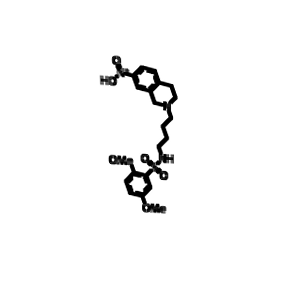 COc1ccc(OC)c(S(=O)(=O)NCCCCN2CCc3ccc([N+](=O)O)cc3C2)c1